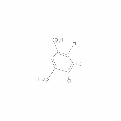 Cl.O=S(=O)(O)c1cc(S(=O)(=O)O)c(Cl)cc1Cl